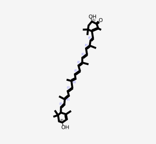 CC1=C[C@H](O)CC(C)(C)C1/C=C/C(C)=C/C=C/C(C)=C/C=C/C=C(C)/C=C/C=C(C)/C=C/C1=C(C)C(=O)[C@@H](O)CC1(C)C